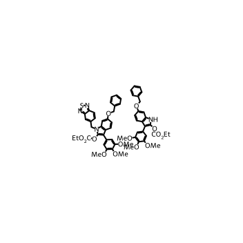 CCOC(=O)Oc1[nH]c2cc(OCc3ccccc3)ccc2c1-c1cc(OC)c(OC)c(OC)c1.CCOC(=O)Oc1c(-c2cc(OC)c(OC)c(OC)c2)c2ccc(OCc3ccccc3)cc2n1Cc1ccc2nsnc2c1